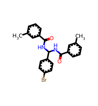 Cc1cccc(C(=O)NC(NC(=O)c2cccc(C)c2)c2ccc(Br)cc2)c1